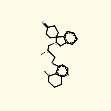 C[C@@H](COc1ccnc2c1[C@H](C)CCC2)C[C@@H]1Cc2ccccc2C12CCC(=O)CC2